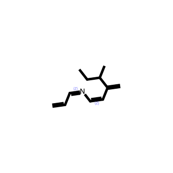 C=C/C=N\C=C/C(=C)C(C)CC